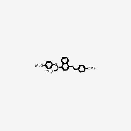 CCOC(=O)CN(Sc1ccc(OC)cc1)c1ccc(CCc2ccc(OC)cc2)c2ccccc12